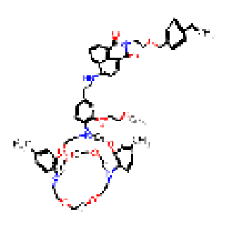 C=Cc1ccc(COCCN2C(=O)c3cccc4c(NCCc5ccc(N6CCOc7cc(C)ccc7N7CCOCCOCCN(CCOCCOCC7)c7ccc(C)cc7OCC6)c(OCCOC)c5)ccc(c34)C2=O)cc1